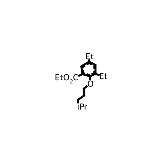 CCOC(=O)c1cc(CC)cc(CC)c1OCCCC(C)C